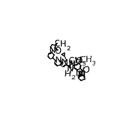 C=C1CCN(c2cccc(-c3ccc4cc(-c5nc6cc(C(=O)N7CC8CCC7C8N)cc(OC)c6n5C)n(CC5CC5)c4n3)c2)C1=O